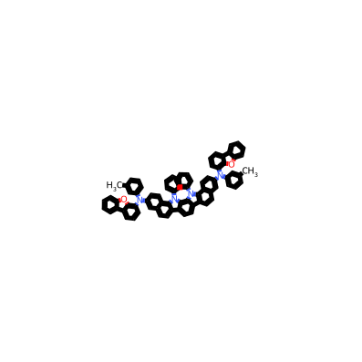 Cc1cccc(N(c2ccc3c(ccc4c5ccc6c7ccc8cc(N(c9cccc(C)c9)c9cccc%10c9oc9ccccc9%10)ccc8c7n(-c7ccccc7)c6c5n(-c5ccccc5)c34)c2)c2cccc3c2oc2ccccc23)c1